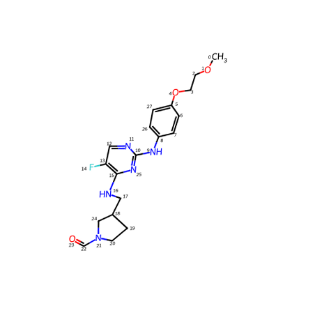 COCCOc1ccc(Nc2ncc(F)c(NCC3CCN(C=O)C3)n2)cc1